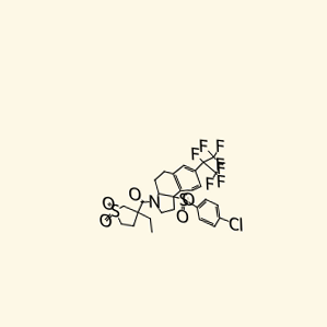 CCC1(C(=O)N2CCC3(S(=O)(=O)c4ccc(Cl)cc4)c4ccc(C(F)(C(F)(F)F)C(F)(F)F)cc4CCC23)CCS(=O)(=O)C1